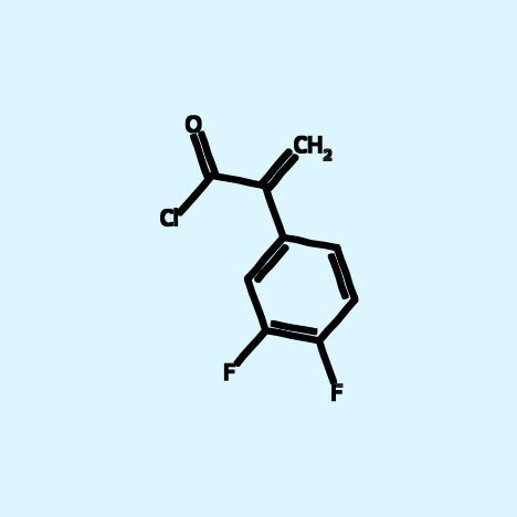 C=C(C(=O)Cl)c1ccc(F)c(F)c1